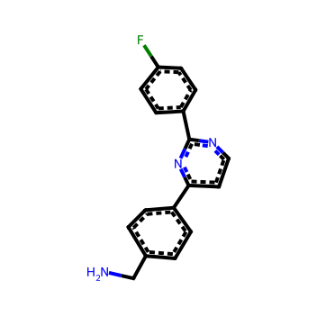 NCc1ccc(-c2ccnc(-c3ccc(F)cc3)n2)cc1